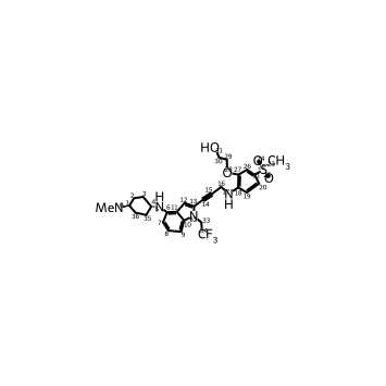 CN[C@H]1CC[C@H](Nc2cccc3c2cc(C#CCNc2ccc(S(C)(=O)=O)cc2OCCO)n3CC(F)(F)F)CC1